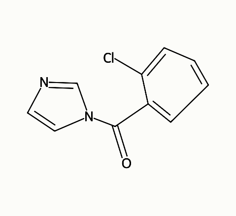 O=C(c1ccccc1Cl)n1ccnc1